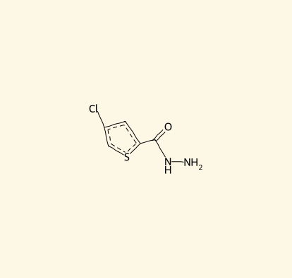 NNC(=O)c1cc(Cl)cs1